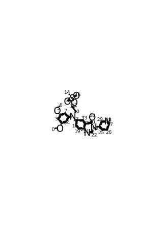 COc1cc(OC)cc(N(CCOS(C)(=O)=O)c2ccc3ncn(-c4cccnc4)c(=O)c3c2)c1